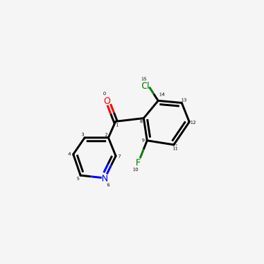 O=C(c1cccnc1)c1c(F)[c]ccc1Cl